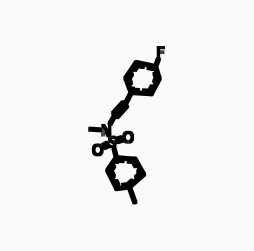 Cc1ccc(S(=O)(=O)N(C)C#Cc2ccc(F)cc2)cc1